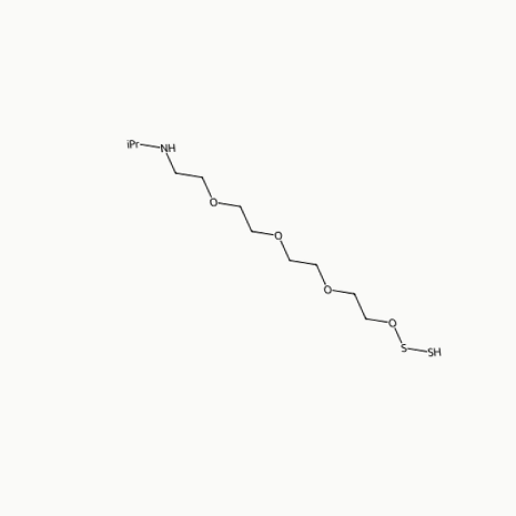 CC(C)NCCOCCOCCOCCOSS